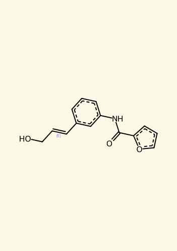 O=C(Nc1cccc(/C=C/CO)c1)c1ccco1